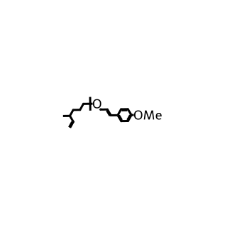 C=CC(C)CCCC(C)(C)OC/C=C/c1ccc(OC)cc1